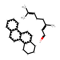 CC(C)=CCCC(C)=CC=O.c1ccc2c(c1)ccc1c3c(ccc12)CCCC3